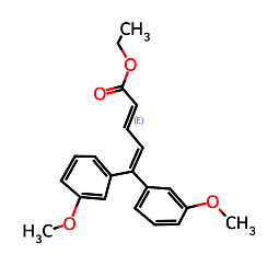 CCOC(=O)/C=C/C=C(c1cccc(OC)c1)c1cccc(OC)c1